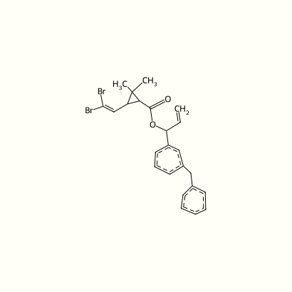 C=CC(OC(=O)C1C(C=C(Br)Br)C1(C)C)c1cccc(Cc2ccccc2)c1